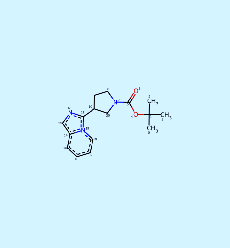 CC(C)(C)OC(=O)N1CCC(c2ncc3ccccn23)C1